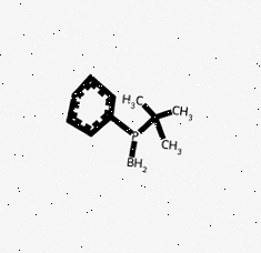 BP(c1ccccc1)C(C)(C)C